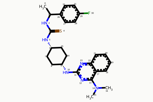 CC(NC(=S)N[C@H]1CC[C@@H](Nc2nc(N(C)C)c3ccccc3n2)CC1)c1ccc(F)cc1